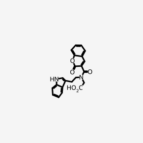 O=C(O)CN(CCc1c[nH]c2ccccc12)C(=O)c1cc2ccccc2oc1=O